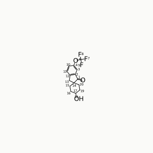 O=C1c2cc(OC(F)(F)F)ccc2CC12CCC(O)CC2